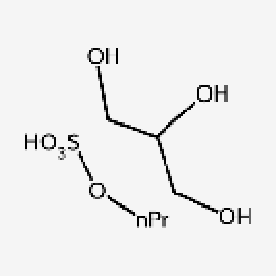 CCCOS(=O)(=O)O.OCC(O)CO